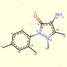 Cc1ccc(-n2c(=O)c(N)c(C)n2C)c(C)c1